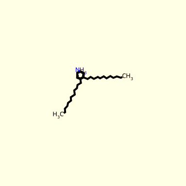 CCCCCCCCCCCCc1ccccc1CCCCCCCCCCCC.N